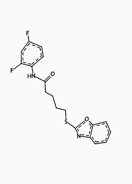 O=C(CCCCSc1nc2ccccc2o1)Nc1ccc(F)cc1F